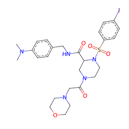 CN(C)c1ccc(CNC(=O)C2CN(C(=O)CN3CCOCC3)CCN2S(=O)(=O)c2ccc(I)cc2)cc1